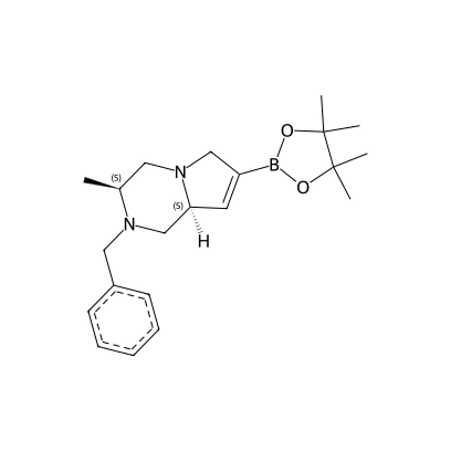 C[C@H]1CN2CC(B3OC(C)(C)C(C)(C)O3)=C[C@H]2CN1Cc1ccccc1